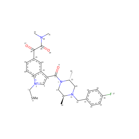 CSCn1cc(C(=O)N2C[C@H](C)N(Cc3ccc(F)cc3)C[C@H]2C)c2cc(C(=O)C(=O)N(C)C)ccc21